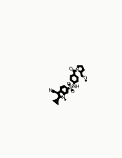 COCC1CCCN1C(=O)C1CCC(NS(=O)(=O)c2ccc3c(C#N)c(C4CC4)n(C)c3c2)CC1